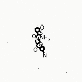 COc1cccc2c(C(=O)N3CCC4(CC3)CC(=O)c3cc(C#N)ccc3O4)c(N)sc12